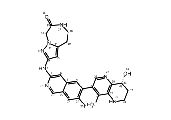 Cc1c(-c2cc3cc(Nc4cc5n(n4)CC(=O)NCC5)ncc3cc2F)cnc2c1NCC[C@H]2O